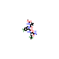 CNC(=O)C(=O)[C@H](CCC(C)(F)F)NC(=O)C1C2CC(F)(F)CC2CN1C(=O)[C@@H](NC(=O)OC)C(C)(C)C